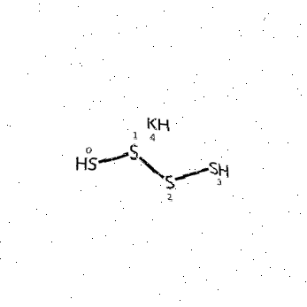 SSSS.[KH]